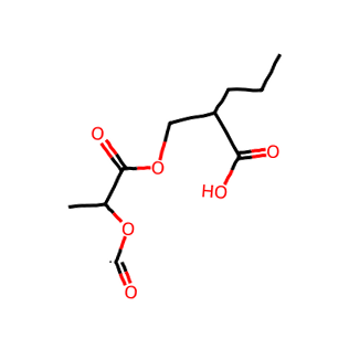 CCCC(COC(=O)C(C)O[C]=O)C(=O)O